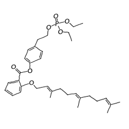 CCOP(=O)(OCC)OCCc1ccc(OC(=O)c2ccccc2OC/C=C(\C)CC/C=C(\C)CCC=C(C)C)cc1